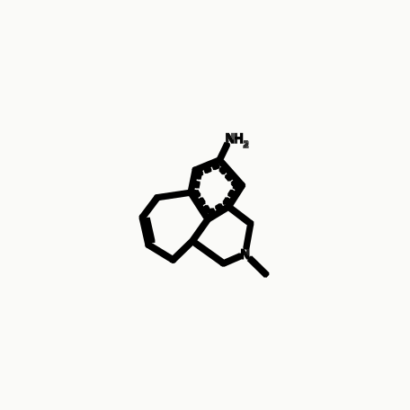 CN1Cc2cc(N)cc3c2C(CC=CC3)C1